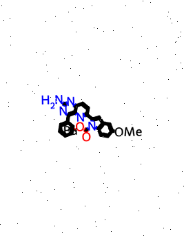 COc1ccc2c(c1)cc(-c1ccc3nc(N)nc(-c4ccccc4)c3n1)n2C(=O)OC(C)(C)C